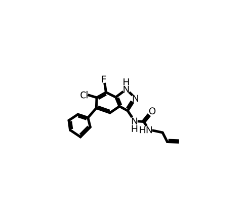 C=CCNC(=O)Nc1n[nH]c2c(F)c(Cl)c(-c3ccccc3)cc12